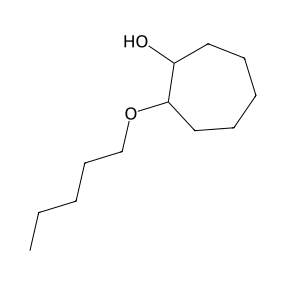 CCCCCOC1CCCCCC1O